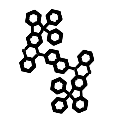 c1ccc([Si]2(c3ccccc3)c3ccccc3-c3cc4c(cc32)N(c2ccc3cc(N5c6ccccc6Oc6cc7c(cc65)[Si](c5ccccc5)(c5ccccc5)c5ccccc5-7)ccc3c2)c2ccccc2O4)cc1